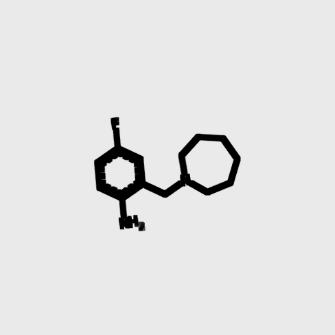 Nc1ccc(F)cc1CN1CCCCCC1